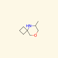 CC1COCC2(CCC2)N1